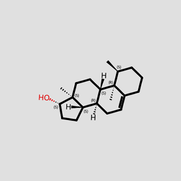 C[C@H]1CCCC2=CC[C@H]3[C@@H]4CC[C@H](O)[C@@]4(C)CC[C@@H]3[C@]21C